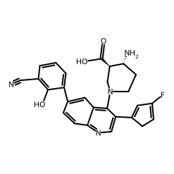 N#Cc1cccc(-c2ccc3ncc(C4=CC(F)=CC4)c(N4CC[C@@H](N)[C@H](C(=O)O)C4)c3c2)c1O